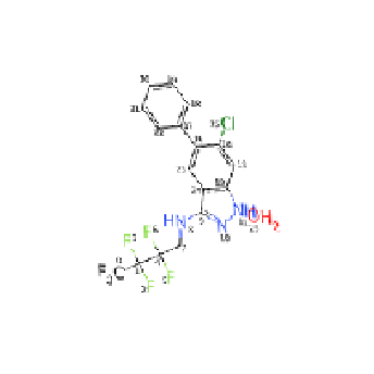 FC(F)(F)C(F)(F)C(F)(F)CNc1n[nH]c2cc(Cl)c(-c3ccccc3)cc12.O